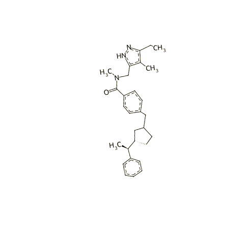 CCc1n[nH]c(CN(C)C(=O)c2ccc(CC3CC[C@H]([C@H](C)c4ccccc4)C3)cc2)c1C